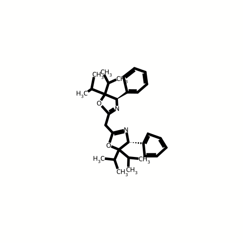 CC(C)C1(C(C)C)OC(CC2=N[C@H](c3ccccc3)C(C(C)C)(C(C)C)O2)=N[C@@H]1c1ccccc1